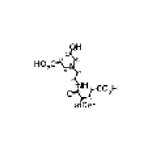 CCCCCCCCCCC(CCC(=O)O)C(=O)NCCN(CCO)CCC(=O)O